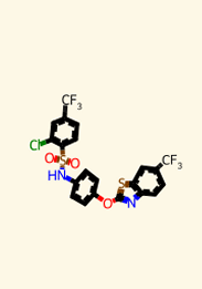 O=S(=O)(Nc1ccc(Oc2nc3ccc(C(F)(F)F)cc3s2)cc1)c1ccc(C(F)(F)F)cc1Cl